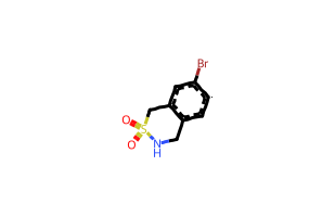 O=S1(=O)Cc2cc(Br)[c]cc2CN1